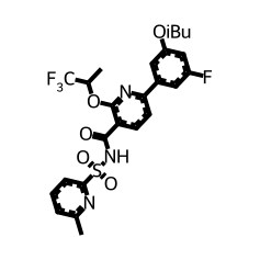 Cc1cccc(S(=O)(=O)NC(=O)c2ccc(-c3cc(F)cc(OCC(C)C)c3)nc2OC(C)C(F)(F)F)n1